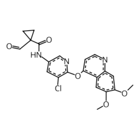 COc1cc2nccc(Oc3ncc(NC(=O)C4(C=O)CC4)cc3Cl)c2cc1OC